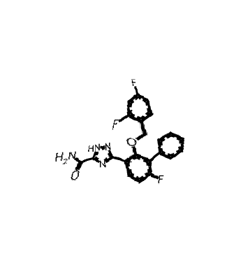 NC(=O)c1nc(-c2ccc(F)c(-c3ccccc3)c2OCc2ccc(F)cc2F)n[nH]1